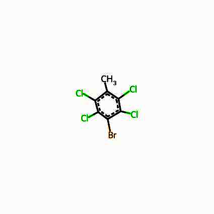 Cc1c(Cl)c(Cl)c(Br)c(Cl)c1Cl